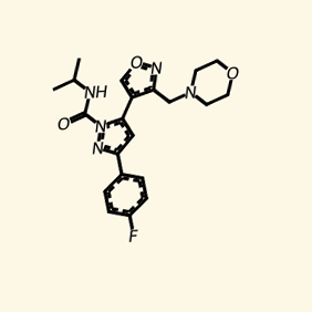 CC(C)NC(=O)n1nc(-c2ccc(F)cc2)cc1-c1conc1CN1CCOCC1